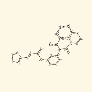 O=C(/C=C/C1=CCC=C1)Oc1cccc(N2C(=O)c3cccc4cccc(c34)C2=O)c1